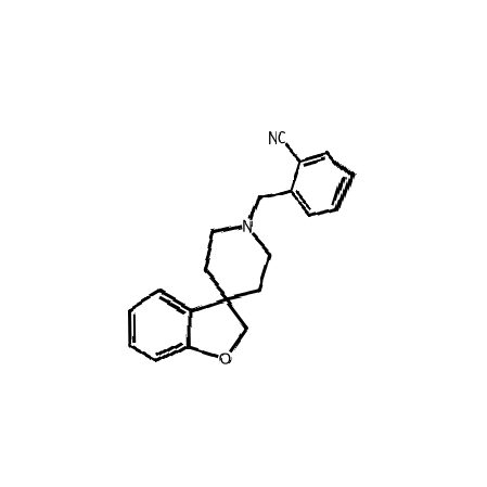 N#Cc1ccccc1CN1CCC2(CC1)COc1ccccc12